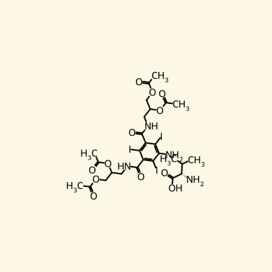 CC(=O)OCC(CNC(=O)c1c(I)c(N)c(I)c(C(=O)NCC(COC(C)=O)OC(C)=O)c1I)OC(C)=O.CC(C)[C@H](N)C(=O)O